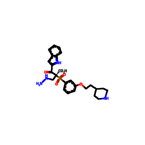 NNC[C@@](C(=O)O)(C(=O)c1cc2ccccc2[nH]1)S(=O)(=O)c1cccc(OCCC2CCNCC2)c1